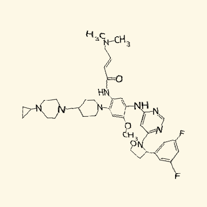 COc1cc(N2CCC(N3CCN(C4CC4)CC3)CC2)c(NC(=O)/C=C/CN(C)C)cc1Nc1cc(N2OCCC2c2cc(F)cc(F)c2)ncn1